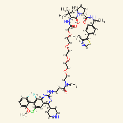 COc1cccc(F)c1-c1c(Cl)cc2c(C3CCNCC3)nc(NCCC(=O)N(C)CCOCCOCCOCCOCC(=O)N[C@H](C(=O)N3CCC[C@H]3C(=O)N[C@@H](C)c3ccc(-c4scnc4C)cc3)C(C)(C)C)nc2c1F